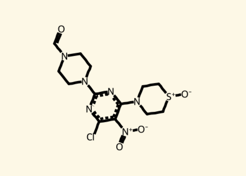 O=CN1CCN(c2nc(Cl)c([N+](=O)[O-])c(N3CC[S+]([O-])CC3)n2)CC1